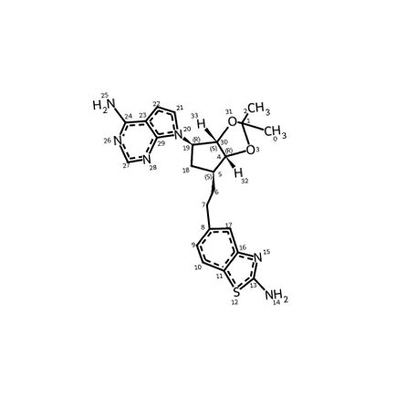 CC1(C)O[C@@H]2[C@@H](CCc3ccc4sc(N)nc4c3)C[C@@H](n3ccc4c(N)ncnc43)[C@@H]2O1